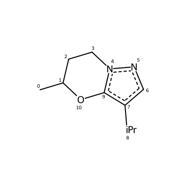 CC1CCn2ncc(C(C)C)c2O1